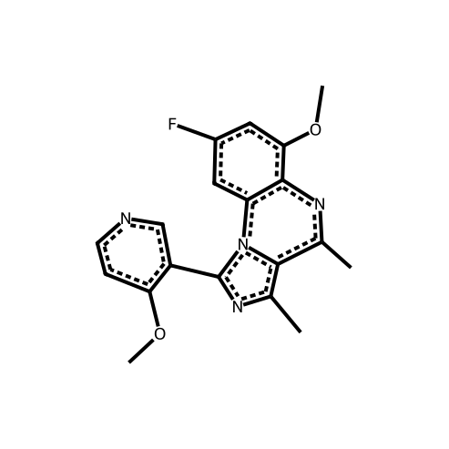 COc1ccncc1-c1nc(C)c2c(C)nc3c(OC)cc(F)cc3n12